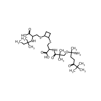 CCC(C)(C)NC(CSC1CCC1SCC(NC(=O)C(C)(C)COC(C)(N)CCC(=O)C(C)(C)C)C(=O)O)C(=O)O